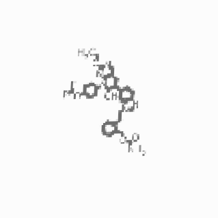 CCOc1ncc2c(n1)N(c1ccc(OC(F)F)cc1)C(C)C(c1ccc3ncn(CCc4ccccc4COC(N)=O)c3c1)=C2